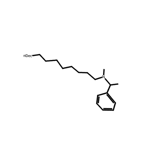 CCCCCCCCCCCCCCCCCCN(C)C(C)c1ccccc1